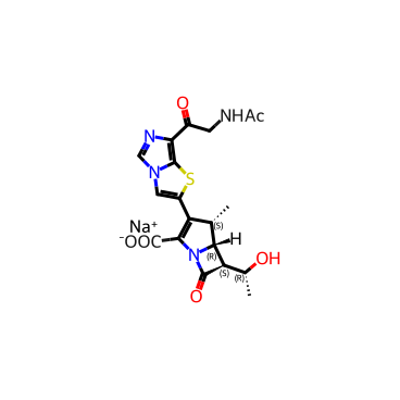 CC(=O)NCC(=O)c1ncn2cc(C3=C(C(=O)[O-])N4C(=O)[C@H]([C@@H](C)O)[C@H]4[C@H]3C)sc12.[Na+]